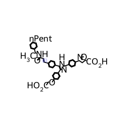 CCCCCc1ccc(C(C)NC(=O)/C=C/c2ccc(-c3[nH]c(-c4ccc(C5=NOC(C(=O)O)C5)cc4)nc3-c3ccc(OCC(=O)O)cc3)cc2)cc1